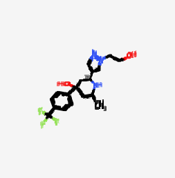 CC1CC(O)(c2ccc(C(F)(F)F)cc2)C[C@@H](c2cnn(CCO)c2)N1